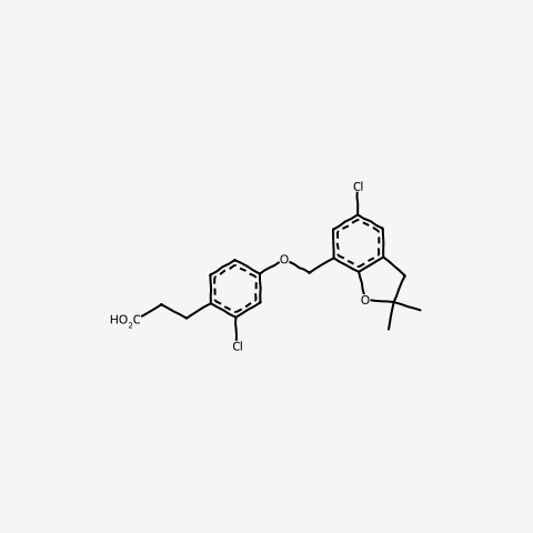 CC1(C)Cc2cc(Cl)cc(COc3ccc(CCC(=O)O)c(Cl)c3)c2O1